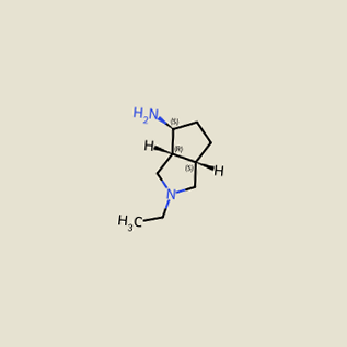 CCN1C[C@H]2CC[C@H](N)[C@H]2C1